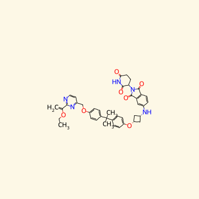 C=C(OCC)c1nccc(COc2ccc(C(C)(C)c3ccc(O[C@H]4C[C@@H](Nc5ccc6c(c5)C(=O)N(C5CCC(=O)NC5=O)C6=O)C4)cc3)cc2)n1